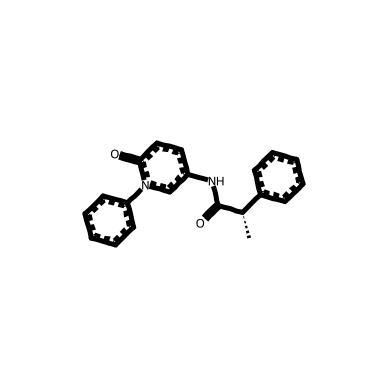 C[C@H](C(=O)Nc1ccc(=O)n(-c2ccccc2)c1)c1ccccc1